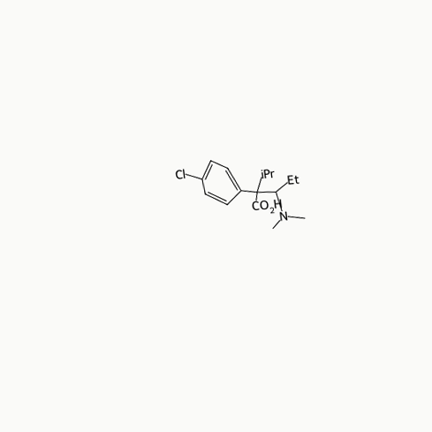 CCC(N(C)C)C(C(=O)O)(c1ccc(Cl)cc1)C(C)C